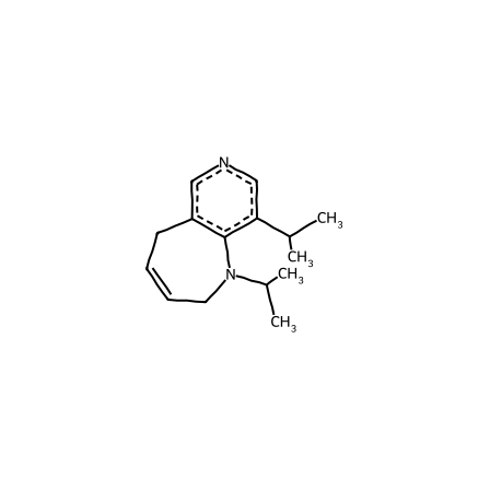 CC(C)c1cncc2c1N(C(C)C)CC=CC2